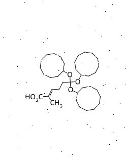 CC(=CCCC(OC1CCCCCCCCC1)(OC1CCCCCCCCC1)OC1CCCCCCCCC1)C(=O)O